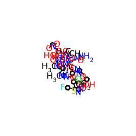 COc1ccccc1-c1nccc(COc2ccccc2C[C@@H](Oc2ncnc3sc(-c4ccc(F)cc4)c(-c4ccc(OCCN5CC[N+](C)(Cc6ccc(NC(=O)C(CCCNC(N)=O)NC(=O)C(NC(=O)CCOCCN7C(=O)C=CC7=O)C(C)C)cc6CN(C)C(=O)CN(CC(=O)O)CC(=O)O)CC5)c(Cl)c4C)c23)C(=O)O)n1